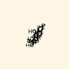 COC(C)O[C@]1(C(=O)CO)C(C)C[C@H]2[C@@H]3CCC4=CC(=O)CC[C@]4(C)[C@H]3C(O)C[C@@]21C